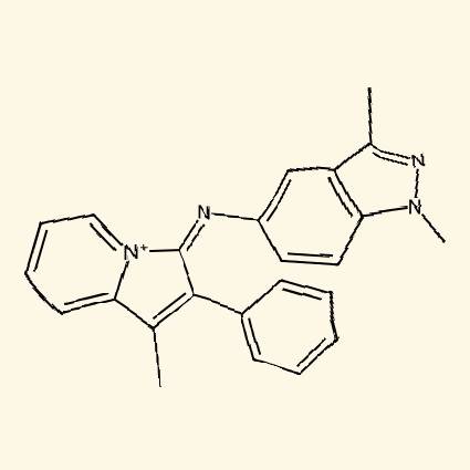 CC1=C(c2ccccc2)/C(=N\c2ccc3c(c2)c(C)nn3C)[n+]2ccccc21